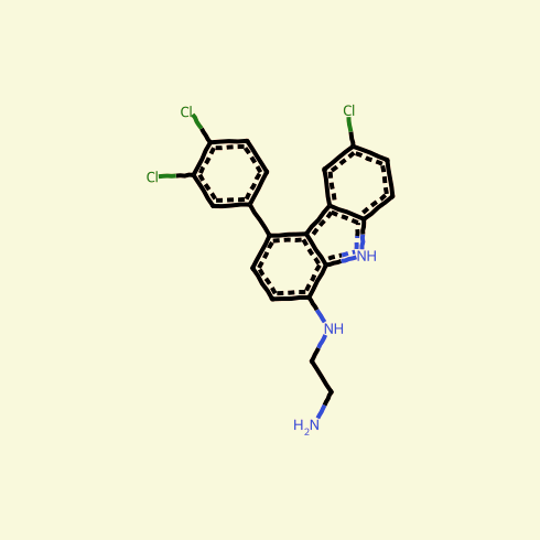 NCCNc1ccc(-c2ccc(Cl)c(Cl)c2)c2c1[nH]c1ccc(Cl)cc12